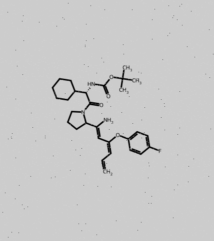 C=C/C=C(\C=C(/N)C1CCCN1C(=O)[C@@H](NC(=O)OC(C)(C)C)C1CCCCC1)Oc1ccc(F)cc1